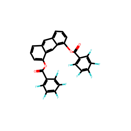 O=C(Oc1cccc2cc3cccc(OC(=O)c4c(F)c(F)c(F)c(F)c4F)c3cc12)c1c(F)c(F)c(F)c(F)c1F